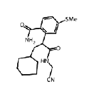 CSc1ccc(C(N)=O)c(C(CC2CCCCC2)C(=O)NCC#N)c1